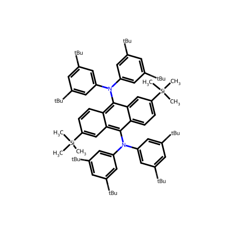 CC(C)(C)c1cc(N(c2cc(C(C)(C)C)cc(C(C)(C)C)c2)c2c3ccc([Si](C)(C)C)cc3c(N(c3cc(C(C)(C)C)cc(C(C)(C)C)c3)c3cc(C(C)(C)C)cc(C(C)(C)C)c3)c3ccc([Si](C)(C)C)cc23)cc(C(C)(C)C)c1